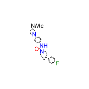 CNC1CCN(c2ccc(NC(=O)N3CCC4(c5ccc(F)cc5)CC4C3)cc2)C1